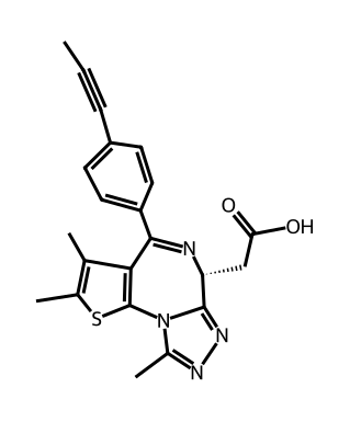 CC#Cc1ccc(C2=N[C@H](CC(=O)O)c3nnc(C)n3-c3sc(C)c(C)c32)cc1